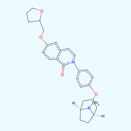 CN1[C@@H]2CC[C@H]1CC(Oc1ccc(-n3ccc4cc(OCC5CCCO5)ccc4c3=O)cc1)C2